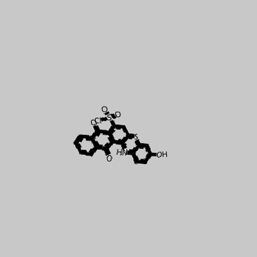 O=c1c2ccccc2c(=O)c2c1c(S(=O)(=O)Cl)cc1sc3cc(O)ccc3[nH]c12